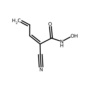 C=CC=C(C#N)C(=O)NO